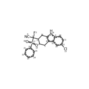 N#CC(F)(C1CCc2c([nH]c3ccc(Cl)cc23)C1)S(=O)(=O)c1ccccc1